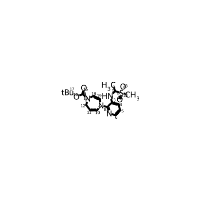 CC(Nc1cccnc1N1C=CCN(C(=O)OC(C)(C)C)C=C1)S(C)(=O)=O